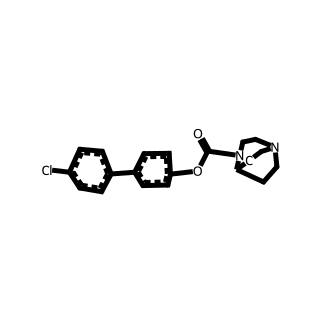 O=C(Oc1ccc(-c2ccc(Cl)cc2)cc1)N1CCN2CCC1CC2